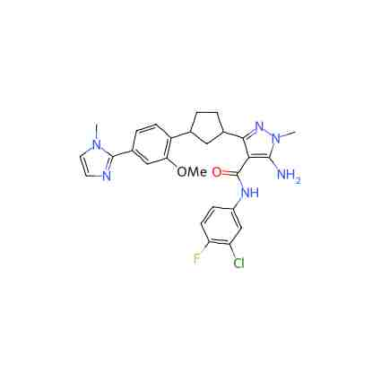 COc1cc(-c2nccn2C)ccc1C1CCC(c2nn(C)c(N)c2C(=O)Nc2ccc(F)c(Cl)c2)C1